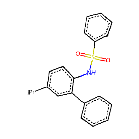 CC(C)c1ccc(NS(=O)(=O)c2ccccc2)c(-c2ccccc2)c1